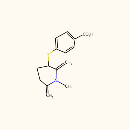 C=C1CCC(Sc2ccc(C(=O)O)cc2)C(=C)N1C